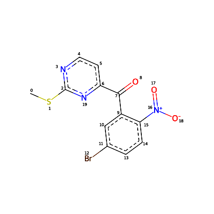 CSc1nccc(C(=O)c2cc(Br)ccc2[N+](=O)[O-])n1